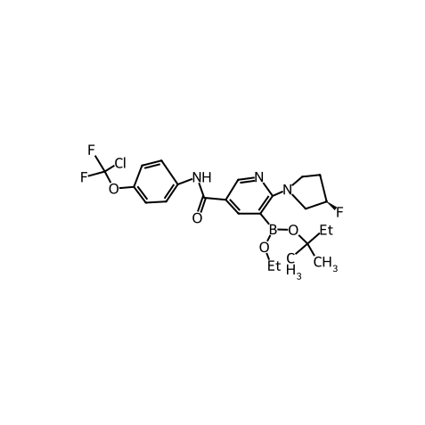 CCOB(OC(C)(C)CC)c1cc(C(=O)Nc2ccc(OC(F)(F)Cl)cc2)cnc1N1CC[C@@H](F)C1